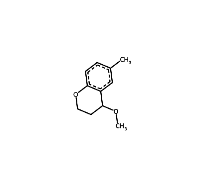 COC1CCOc2ccc(C)cc21